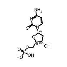 Nc1ccn([C@H]2C[C@H](O)[C@@H](COP(=O)(O)O)O2)c(=S)n1